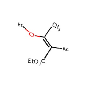 CCOC(=O)C(C(C)=O)=C(C)OCC